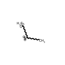 CCCCCCCC/C=C(\CCCCCCCC(=O)OC)[N+](=O)[O-]